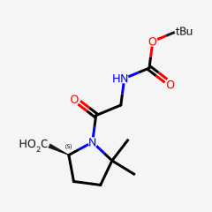 CC(C)(C)OC(=O)NCC(=O)N1[C@H](C(=O)O)CCC1(C)C